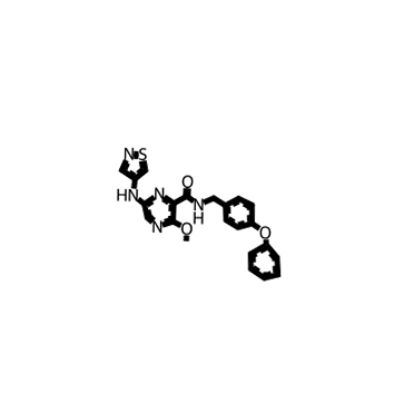 COc1ncc(Nc2cnsc2)nc1C(=O)NCc1ccc(Oc2ccccc2)cc1